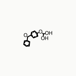 O=C(c1ccccc1)c1ccc(OC(O)O)cc1